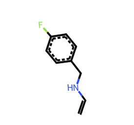 C=CNCc1ccc(F)cc1